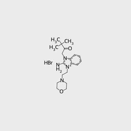 Br.CC(C)(C)C(=O)Cn1c(N)[n+](CCN2CCOCC2)c2ccccc21